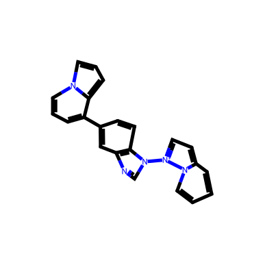 c1ccn2c(c1)cc[n+]2-n1cnc2cc(-c3cccn4cccc34)ccc21